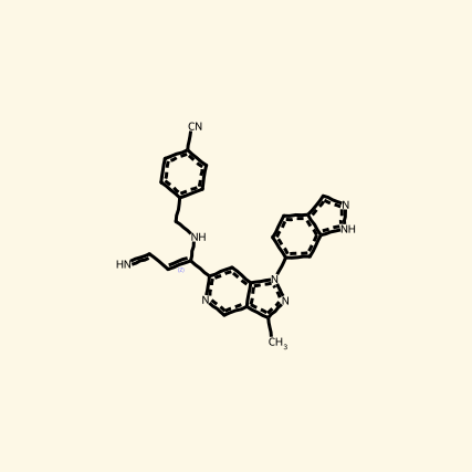 Cc1nn(-c2ccc3cn[nH]c3c2)c2cc(/C(=C/C=N)NCc3ccc(C#N)cc3)ncc12